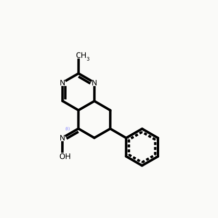 CC1=NC2CC(c3ccccc3)C/C(=N\O)C2C=N1